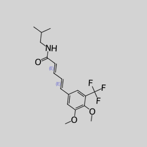 COc1cc(/C=C/C=C/C(=O)NCC(C)C)cc(C(F)(F)F)c1OC